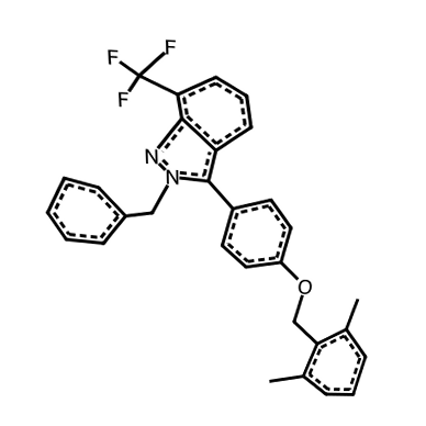 Cc1cccc(C)c1COc1ccc(-c2c3cccc(C(F)(F)F)c3nn2Cc2ccccc2)cc1